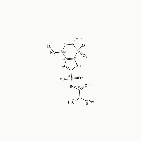 CCN[C@H]1C[C@H](C)S(=O)(=O)c2sc(S(=O)(=O)NC(=O)C(C)OC)cc21